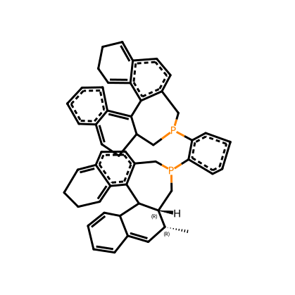 C[C@@H]1C=C2C=CC=CC2C2c3c(ccc4c3=CCCC=4)CP(c3ccccc3P3Cc4ccc5c(c4C4=c6ccccc6=CCC4C3)=CCCC=5)C[C@@H]21